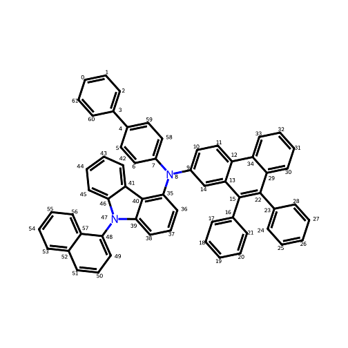 c1ccc(-c2ccc(N(c3ccc4c(c3)c(-c3ccccc3)c(-c3ccccc3)c3ccccc34)c3cccc4c3c3ccccc3n4-c3cccc4ccccc34)cc2)cc1